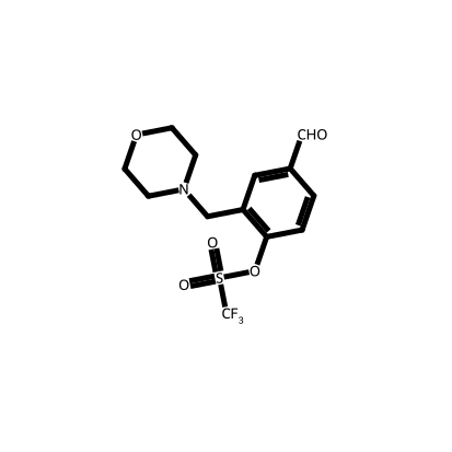 O=Cc1ccc(OS(=O)(=O)C(F)(F)F)c(CN2CCOCC2)c1